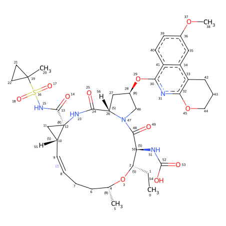 CC[C@@H]1O[C@H](C)CC/C=C\[C@@H]2C[C@@]2(C(=O)NS(=O)(=O)C2(C)CC2)NC(=O)[C@@H]2C[C@@H](Oc3nc4c(c5cc(OC)ccc35)CCCO4)CN2C(=O)[C@H]1NC(=O)O